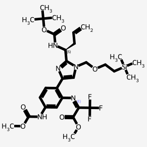 C=CC[C@H](NC(=O)OC(C)(C)C)c1nc(-c2ccc(NC(=O)OC)cc2/N=C(\C(=O)OC)C(F)(F)F)cn1COCC[Si](C)(C)C